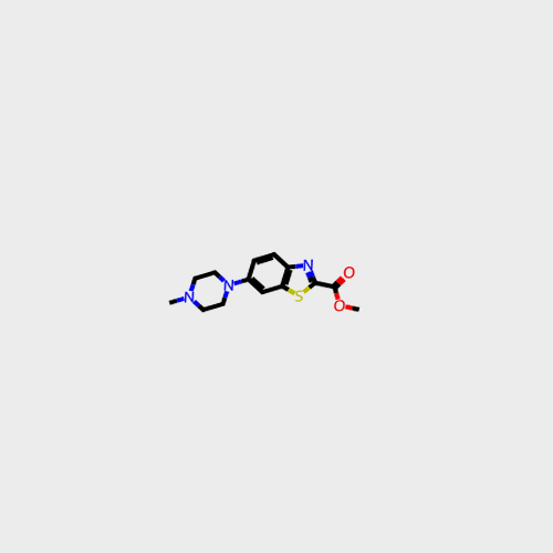 COC(=O)c1nc2ccc(N3CCN(C)CC3)cc2s1